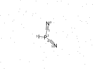 N#CP(I)C#N